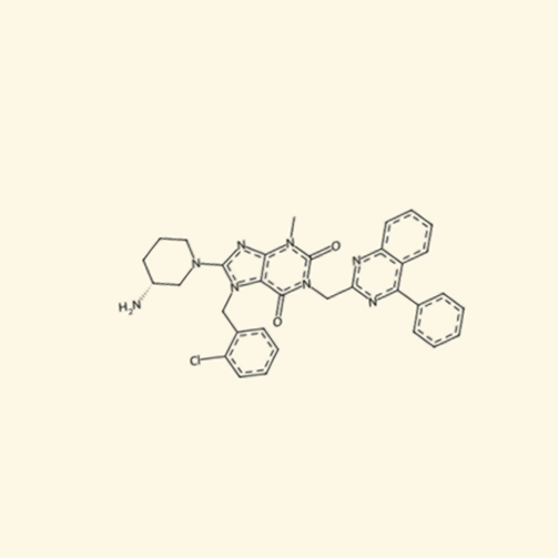 Cn1c(=O)n(Cc2nc(-c3ccccc3)c3ccccc3n2)c(=O)c2c1nc(N1CCC[C@@H](N)C1)n2Cc1ccccc1Cl